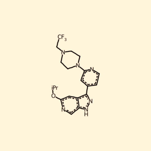 CC(C)Oc1cc2c(-c3ccnc(N4CCN(CC(F)(F)F)CC4)c3)n[nH]c2cn1